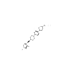 CCOC1CC=C(C#CC2CCC(C3C=CC(C4CCC(C(C)O)CC4)=C(F)C3F)CC2)C(F)=C1F